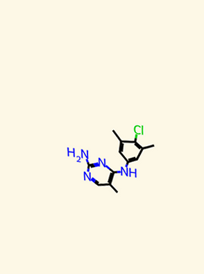 Cc1cnc(N)nc1Nc1cc(C)c(Cl)c(C)c1